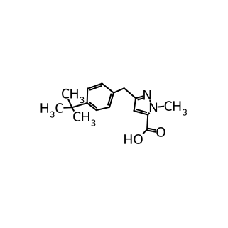 Cn1nc(Cc2ccc(C(C)(C)C)cc2)cc1C(=O)O